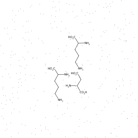 NC(CC(=O)O)C(=O)O.NCCCC(N)C(=O)O.NCCCC(N)C(=O)O